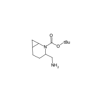 CC(C)(C)OC(=O)N1C(CN)CCC2CC21